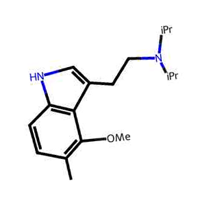 COc1c(C)ccc2[nH]cc(CCN(C(C)C)C(C)C)c12